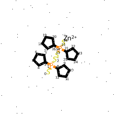 S=P([S-])(C1CCCC1)C1CCCC1.S=P([S-])(C1CCCC1)C1CCCC1.[Zn+2]